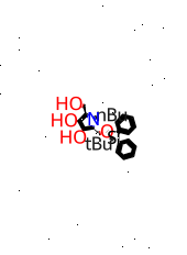 CCCCN1[C@H](CO)[C@@H](O)[C@H](O)[C@H]1CO[Si](c1ccccc1)(c1ccccc1)C(C)(C)C